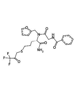 NC(=O)[C@H](CCCSCC(=O)C(F)(F)F)N(Cc1ccco1)C(=O)CNC(=O)c1ccccc1